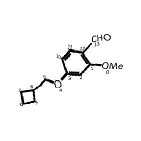 COc1cc(OCC2CCC2)ccc1C=O